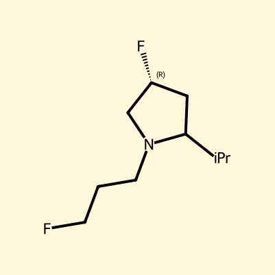 CC(C)C1C[C@@H](F)CN1CCCF